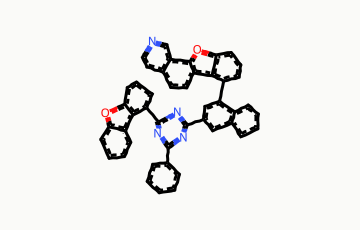 c1ccc(-c2nc(-c3cc(-c4cccc5oc6c7cnccc7ccc6c45)c4ccccc4c3)nc(-c3cccc4oc5ccccc5c34)n2)cc1